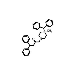 C[N+]1(C(c2ccccc2)c2ccccc2)CCN(CC(=O)CC(c2ccccc2)c2ccccc2)CC1